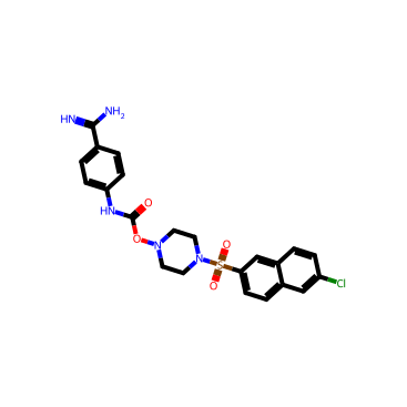 N=C(N)c1ccc(NC(=O)ON2CCN(S(=O)(=O)c3ccc4cc(Cl)ccc4c3)CC2)cc1